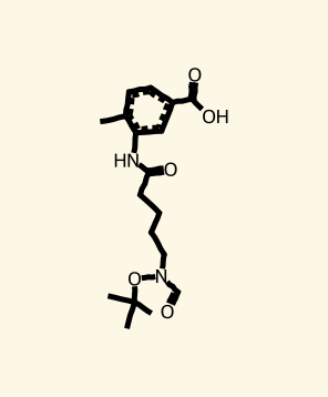 Cc1ccc(C(=O)O)cc1NC(=O)CCCCN(C=O)OC(C)(C)C